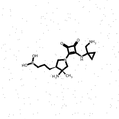 C[C@]1(N)CN(c2c(NC3(CN)CC3)c(=O)c2=O)C[C@@H]1CCCB(O)O